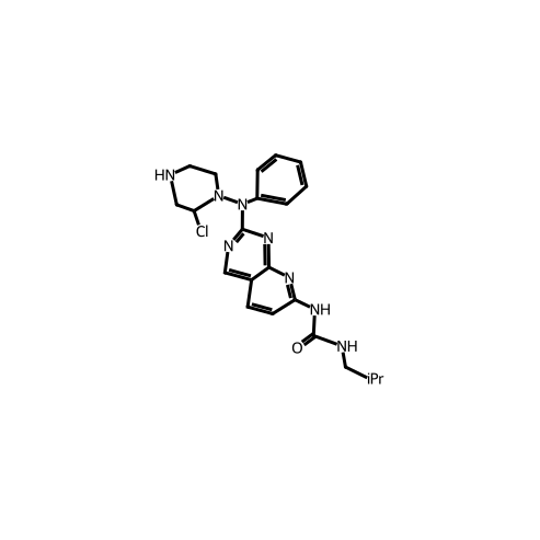 CC(C)CNC(=O)Nc1ccc2cnc(N(c3ccccc3)N3CCNCC3Cl)nc2n1